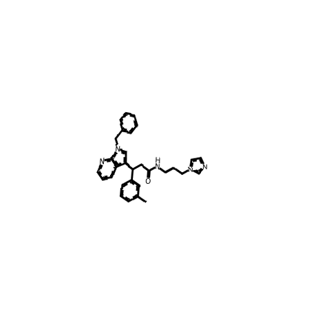 Cc1cccc(C(CC(=O)NCCCn2ccnc2)c2cn(Cc3ccccc3)c3ncccc23)c1